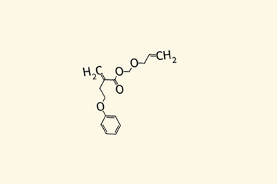 C=CCOCOC(=O)C(=C)CCOc1ccccc1